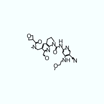 COCCNc1cc(NC(=O)N2CCCc3cc(CN(C)C(=O)C4COC4)c(C=O)nc32)ncc1C#N